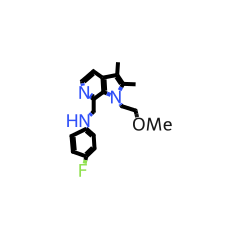 COCCn1c(C)c(C)c2ccnc(CNc3ccc(F)cc3)c21